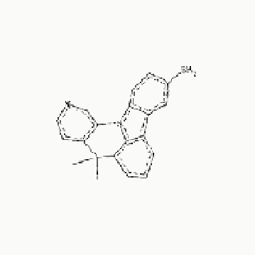 Bc1ccc2c(c1)c1cccc3c1n2-c1cnccc1C3(C)C